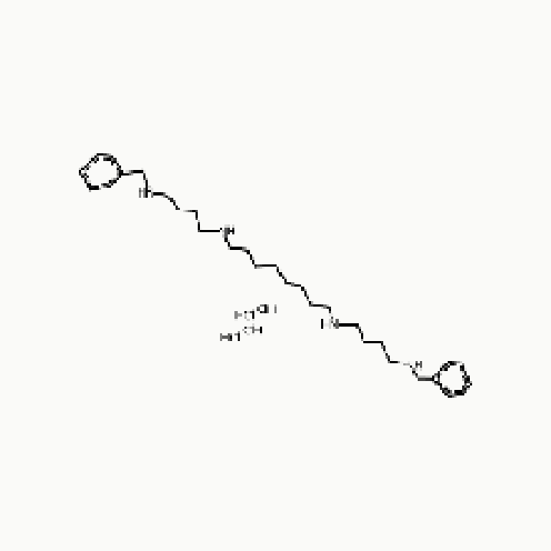 Cl.Cl.Cl.Cl.c1ccc(CNCCCCNCCCCCCCCNCCCCNCc2ccccc2)cc1